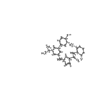 Cc1cccc(Cl)c1NC(=O)c1nnc(Nc2nc(-c3ccc(F)cc3)nc(N(C)C)n2)o1